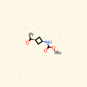 CC(C)C(=O)[C@H]1C[C@@H](NC(=O)OC(C)(C)C)C1